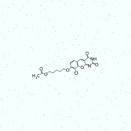 CC(=O)OCCCCCOc1ccc2cc3c(=O)[nH]c(=O)nc-3oc2c1Cl